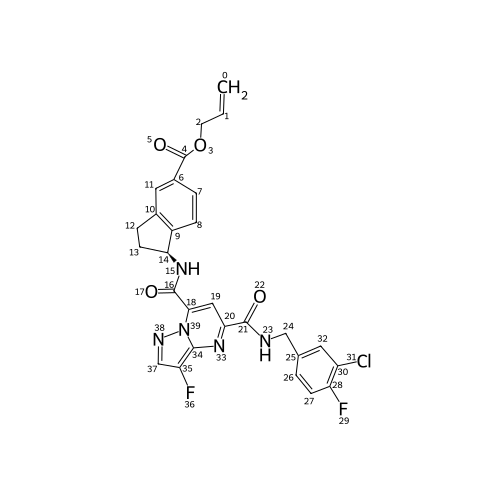 C=CCOC(=O)c1ccc2c(c1)CC[C@@H]2NC(=O)c1cc(C(=O)NCc2ccc(F)c(Cl)c2)nc2c(F)cnn12